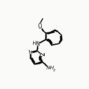 COc1ccccc1Nc1nccc(N)n1